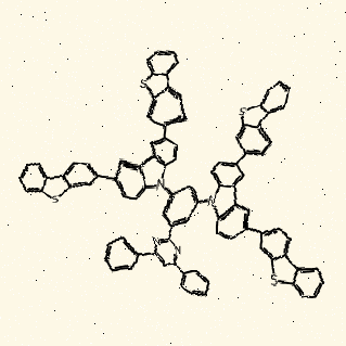 c1ccc(-c2cc(-c3ccccc3)nc(-c3cc(-n4c5ccc(-c6ccc7c(c6)sc6ccccc67)cc5c5cc(-c6ccc7c(c6)sc6ccccc67)ccc54)cc(-n4c5ccc(-c6ccc7c(c6)sc6ccccc67)cc5c5cc(-c6ccc7c(c6)sc6ccccc67)ccc54)c3)n2)cc1